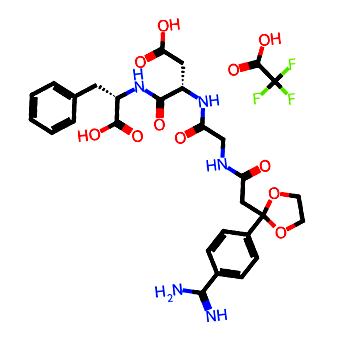 N=C(N)c1ccc(C2(CC(=O)NCC(=O)N[C@@H](CC(=O)O)C(=O)N[C@@H](Cc3ccccc3)C(=O)O)OCCO2)cc1.O=C(O)C(F)(F)F